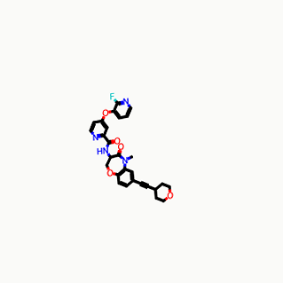 CN1C(=O)C(NC(=O)c2cc(Oc3cccnc3F)ccn2)COc2ccc(C#CC3CCOCC3)cc21